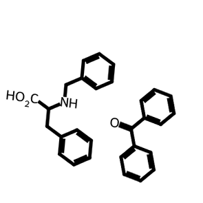 O=C(O)C(Cc1ccccc1)NCc1ccccc1.O=C(c1ccccc1)c1ccccc1